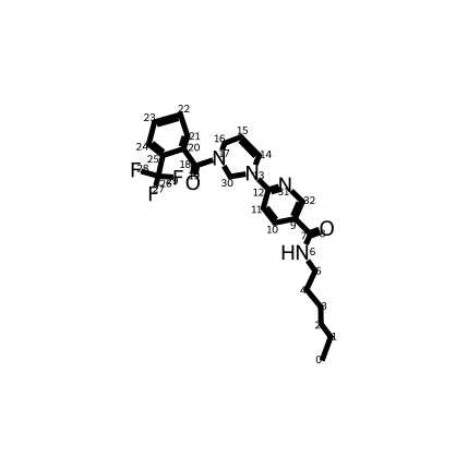 CCCCCCNC(=O)c1ccc(N2C=CCN(C(=O)c3ccccc3C(F)(F)F)C2)nc1